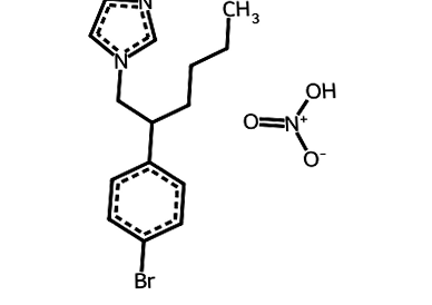 CCCCC(Cn1ccnc1)c1ccc(Br)cc1.O=[N+]([O-])O